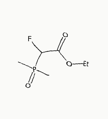 CCOC(=O)C(F)P(C)(C)=O